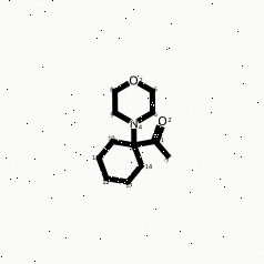 CC(=O)C1(N2CCOCC2)CCCCC1